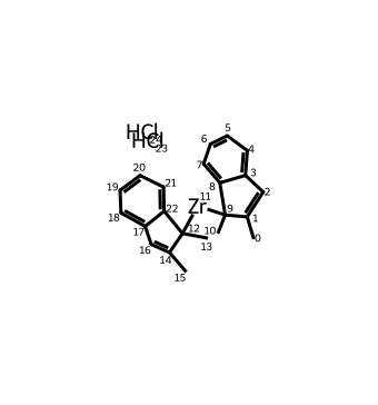 CC1=Cc2ccccc2[C]1(C)[Zr][C]1(C)C(C)=Cc2ccccc21.Cl.Cl